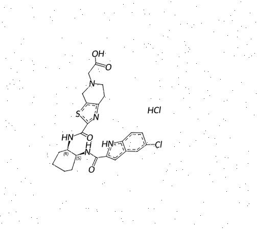 Cl.O=C(O)CN1CCc2nc(C(=O)N[C@@H]3CCCC[C@@H]3NC(=O)c3cc4cc(Cl)ccc4[nH]3)sc2C1